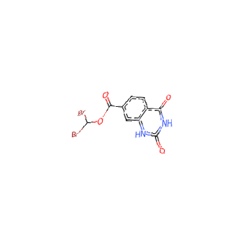 O=C(OC(Br)Br)c1ccc2c(=O)[nH]c(=O)[nH]c2c1